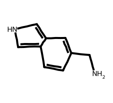 NCc1ccc2c[nH]cc2c1